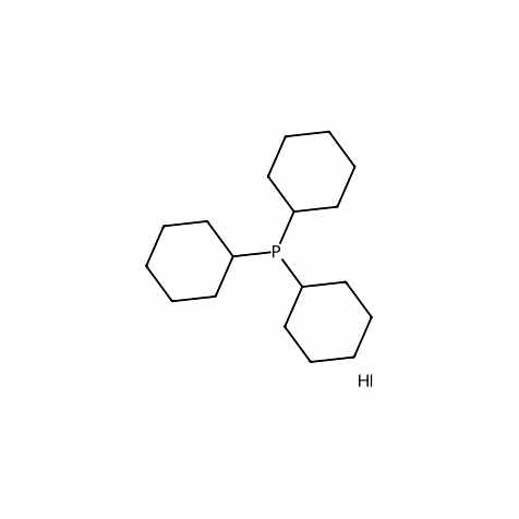 C1CCC(P(C2CCCCC2)C2CCCCC2)CC1.I